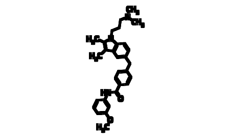 COc1cccc(NC(=O)c2ccc(Cc3ccc4c(c3)c(C)c(C)n4CCCN(C)C)cc2)c1